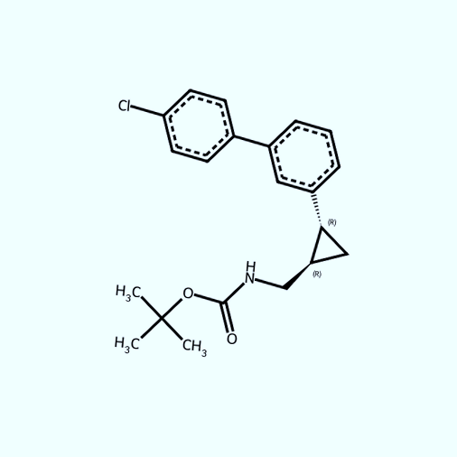 CC(C)(C)OC(=O)NC[C@@H]1C[C@H]1c1cccc(-c2ccc(Cl)cc2)c1